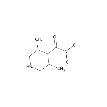 CC1CNCC(C)C1C(=O)N(C)C